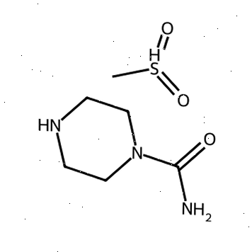 C[SH](=O)=O.NC(=O)N1CCNCC1